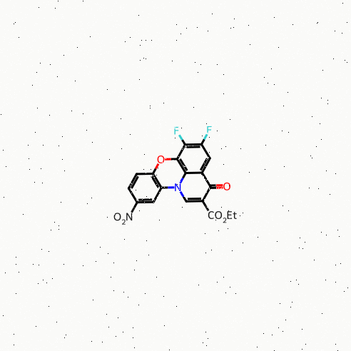 CCOC(=O)c1cn2c3c(c(F)c(F)cc3c1=O)Oc1ccc([N+](=O)[O-])cc1-2